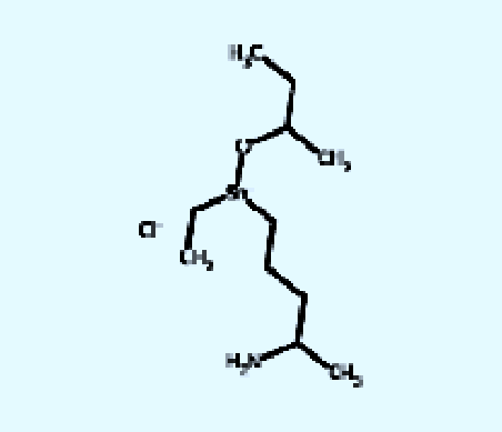 CCC(C)[O][Sn+]([CH2]C)[CH2]CCC(C)N.[Cl-]